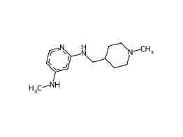 CNc1ccnc(NCC2CCN(C)CC2)c1